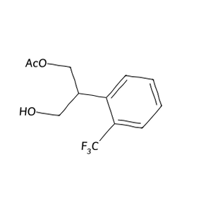 CC(=O)OCC(CO)c1ccccc1C(F)(F)F